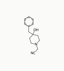 N#CCN1CCC(O)(Cc2ccccc2)CC1